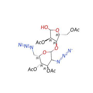 CC(=O)OC[C@H]1OC(O)[C@H](OC(C)=O)[C@@H]1OC1O[C@@H](CN=[N+]=[N-])[C@@H](OC(C)=O)[C@H](OC(C)=O)C1N=[N+]=[N-]